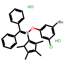 CC1=C(C)C(C)[C]([Ti]([O]c2cc(Cl)cc(C(C)(C)C)c2)=[C](c2ccccc2)c2ccccc2)=C1C.Cl.Cl